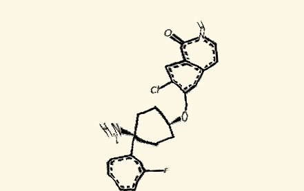 N[C@]1(c2ccccc2F)CC[C@H](Oc2cc3cc[nH]c(=O)c3cc2Cl)CC1